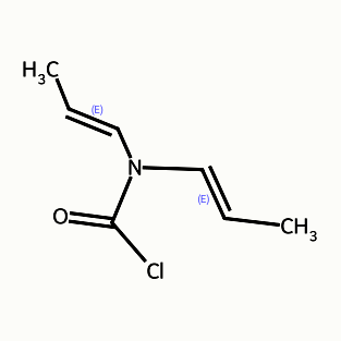 C/C=C/N(/C=C/C)C(=O)Cl